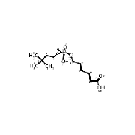 CC(C)(C)CCOP(=O)(O)OCCCCCC(=O)O